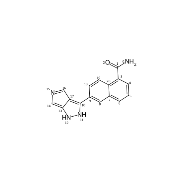 NC(=O)c1cccc2cc(-c3[nH][nH]c4cncc3-4)ccc12